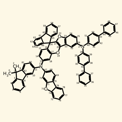 CC1(C)c2ccccc2-c2cc(N(c3ccc4c(c3)Oc3c(oc5ccc(N(c6ccc(-c7ccccc7)cc6)c6ccc(-c7ccccc7)cc6)cc35)C43c4ccccc4-c4ccccc43)c3ccc4c(c3)oc3ccccc34)ccc21